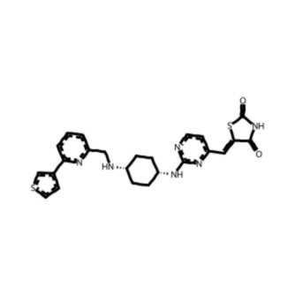 O=C1NC(=O)/C(=C/c2ccnc(N[C@H]3CC[C@@H](NCc4cccc(-c5ccsc5)n4)CC3)n2)S1